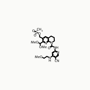 COCCNc1cc(NC(=O)N2CCCc3cc(COS(C)(=O)=O)c(C(OC)OC)nc32)ncc1C#N